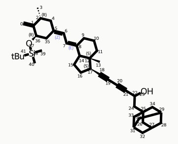 C=C1[C@H](C)C/C(=C/C=C2\CCC[C@@]3(C)C2CC[C@@H]3C#CC#CC(O)CC23CC4CC(CC(C4)C2)C3)C[C@H]1O[Si](C)(C)C(C)(C)C